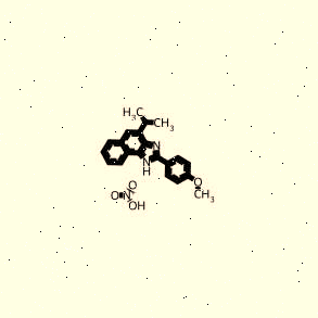 COc1ccc(-c2nc3c(C(C)C)cc4ccccc4c3[nH]2)cc1.O=[N+]([O-])O